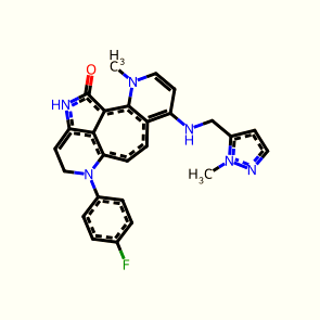 CN1C=CC(NCc2ccnn2C)=c2ccc3c4c([nH]c(=O)c-4c21)=CCN3c1ccc(F)cc1